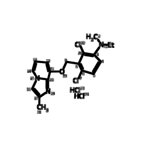 CCN(C)c1ccc(Cl)c(COc2cccn3cc(C)nc23)c1Cl.Cl.Cl